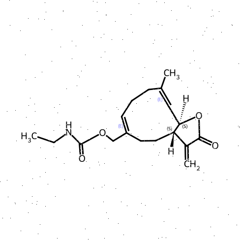 C=C1C(=O)O[C@@H]2/C=C(\C)CC/C=C(/COC(=O)NCC)CC[C@@H]12